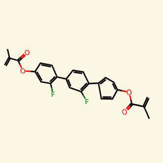 C=C(C)C(=O)Oc1ccc(-c2ccc(-c3ccc(OC(=O)C(=C)C)cc3F)cc2F)cc1